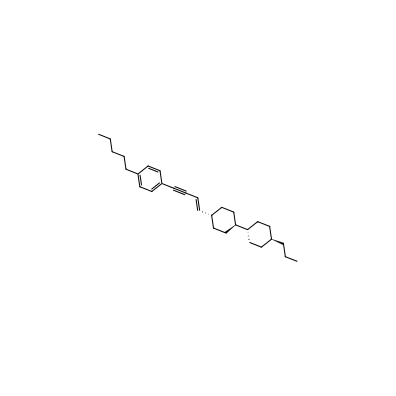 CCCCCc1ccc(C#CC=C[C@H]2CC[C@H]([C@H]3CC[C@H](CCC)CC3)CC2)cc1